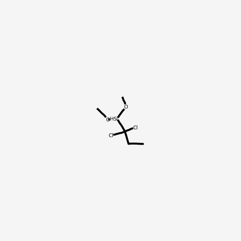 CCC(Cl)(Cl)[SiH](OC)OC